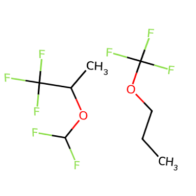 CC(OC(F)F)C(F)(F)F.CCCOC(F)(F)F